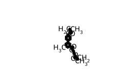 C=C(C)C(=O)OCCOC(=O)c1cc(C)cc(-c2ccc(OC(=O)C(=C)C)cc2)c1